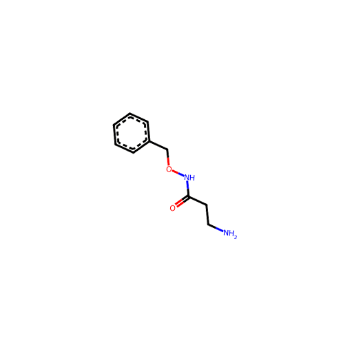 NCCC(=O)NOCc1ccccc1